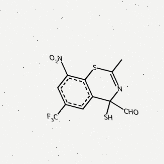 CC1=NC(S)(C=O)c2cc(C(F)(F)F)cc([N+](=O)[O-])c2S1